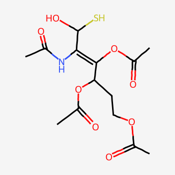 CC(=O)N/C(=C(/OC(C)=O)C(CCOC(C)=O)OC(C)=O)C(O)S